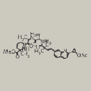 COC(=O)C1(C)CCCN(C(=O)[C@H](C)NC(=O)[C@@H](NC(=O)C(C)(C)/C=C/c2ccc3ccc([C@H]4CC4OC(C)=O)nc3c2)C(C)C)N1